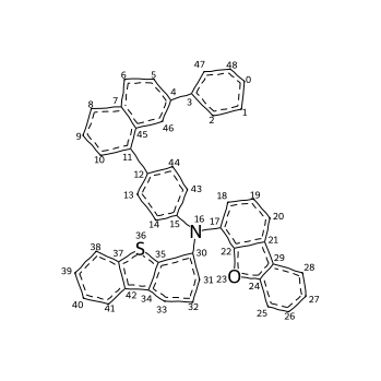 c1ccc(-c2ccc3cccc(-c4ccc(N(c5cccc6c5oc5ccccc56)c5cccc6c5sc5ccccc56)cc4)c3c2)cc1